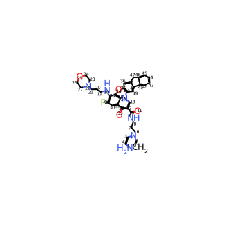 C=CN(/C=C\N)CCCNC(=O)c1cn2c3c(c(NCCCN4CCOCC4)c(F)cc3c1=O)Oc1cc3c(cc1-2)-c1ccccc1C3